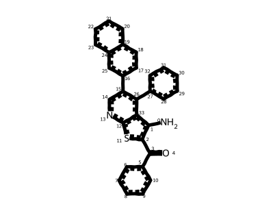 Nc1c(C(=O)c2ccccc2)sc2ncc(-c3ccc4ccccc4c3)c(-c3ccccc3)c12